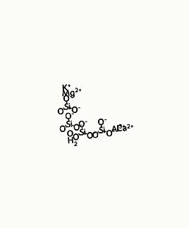 O.O=[Si]([O-])[O-].O=[Si]([O-])[O-].O=[Si]([O-])[O-].O=[Si]([O-])[O-].[Al+3].[Ca+2].[K+].[Mg+2]